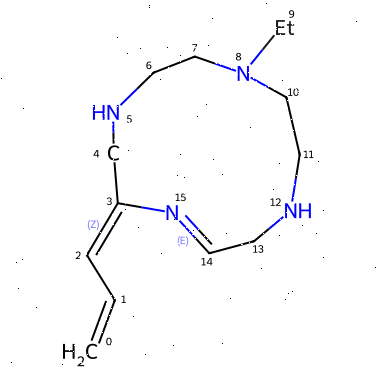 C=C/C=C1CNCCN(CC)CCNC/C=N/1